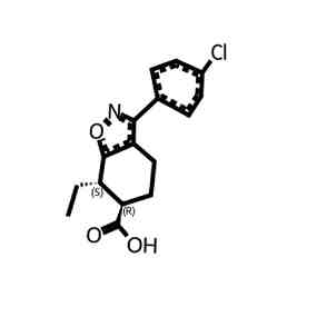 CC[C@@H]1c2onc(-c3ccc(Cl)cc3)c2CC[C@H]1C(=O)O